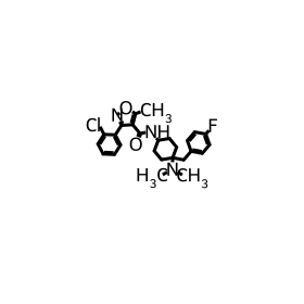 Cc1onc(-c2ccccc2Cl)c1C(=O)NC1CCC(Cc2ccc(F)cc2)(N(C)C)CC1